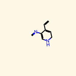 C=CC1=CCNC=C1N=C